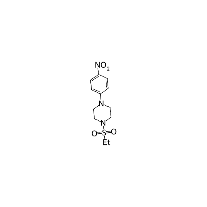 CCS(=O)(=O)N1CCN(c2ccc([N+](=O)[O-])cc2)CC1